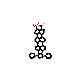 CN1C(=O)c2ccc3c4ccc5c6ccc7c8c(ccc(c9ccc(c%10ccc(c2c3%10)C1=O)c4c59)c86)-c1c(-c2ccccc2)ccc(-c2ccccc2)c1-7